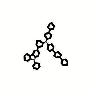 c1ccc(-c2ccc(-c3ccc(N(c4ccc(-c5ccccc5)cc4)c4cccc(-c5ccc6c(c5)c5ccccc5n6-c5ccccc5)c4)cc3)cc2)cc1